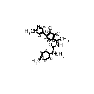 CC(NC(=O)N(C)C1CCN(C)CC1)c1ccc(-c2cnn(C)c2)c(Cl)c1Cl